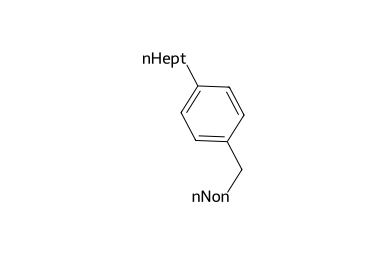 [CH2]CCCCCCc1ccc(CCCCCCCCCC)cc1